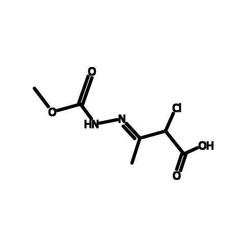 COC(=O)N/N=C(\C)C(Cl)C(=O)O